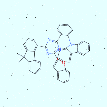 CC1(C)c2ccccc2-c2c(-c3nc(-c4cc5ccccc5o4)nc(-c4ccccc4-n4c5ccccc5c5ccccc54)n3)cccc21